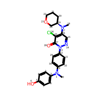 CN(c1ccc(O)cc1)c1ccc(-n2ncc(N(C)[C@@H]3CCCOC3)c(Cl)c2=O)cc1